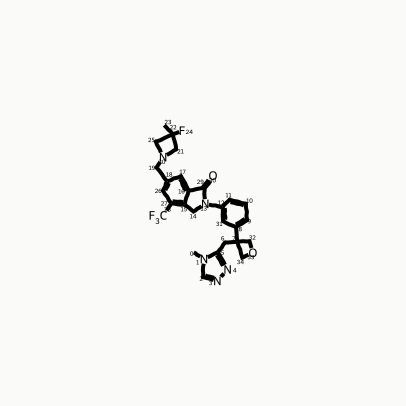 Cn1cnnc1CC1(c2cccc(N3Cc4c(cc(CN5CC(C)(F)C5)cc4C(F)(F)F)C3=O)c2)COC1